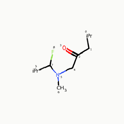 CC(C)CC(=O)CN(C)C(F)C(C)C